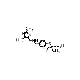 Cc1nc(C)c(CNCc2ccc(SC(C)(C)C(=O)O)cc2)s1